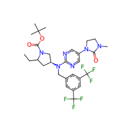 CCC1C[C@H](N(Cc2cc(C(F)(F)F)cc(C(F)(F)F)c2)c2ncc(N3CCN(C)C3=O)cn2)CN1C(=O)OC(C)(C)C